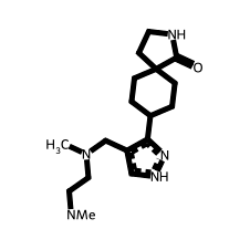 CNCCN(C)Cc1c[nH]nc1C1CCC2(CCNC2=O)CC1